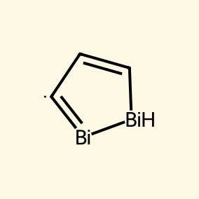 [C]1=[Bi][BiH][CH]=C1